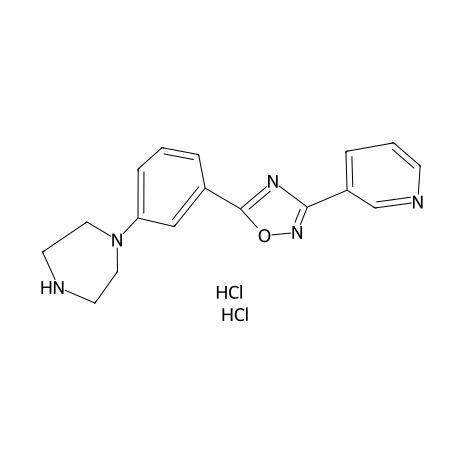 Cl.Cl.c1cncc(-c2noc(-c3cccc(N4CCNCC4)c3)n2)c1